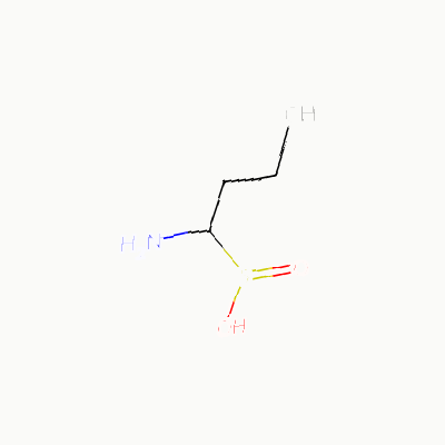 CCCC(N)S(=O)O